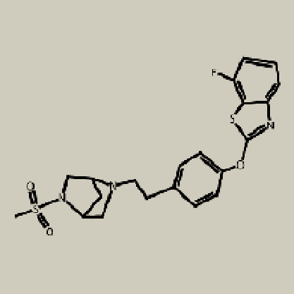 CS(=O)(=O)N1CC2CC1CN2CCc1ccc(Oc2nc3cccc(F)c3s2)cc1